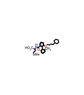 CSCC[C@H](NC(=O)c1cccc(OCCCCC2CCCCC2)c1-c1ccccc1C)C(=O)O